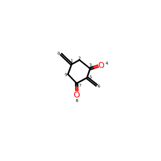 C=C1CC(=O)C(=C)C(=O)C1